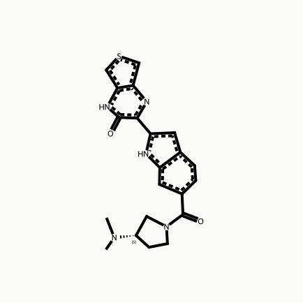 CN(C)[C@H]1CCN(C(=O)c2ccc3cc(-c4nc5cscc5[nH]c4=O)[nH]c3c2)C1